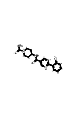 CC(C)(C)C(=O)N1CCC(NC(=O)c2cnc(-c3ccccc3Cl)nc2)CC1